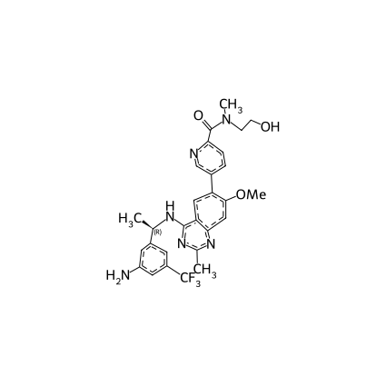 COc1cc2nc(C)nc(N[C@H](C)c3cc(N)cc(C(F)(F)F)c3)c2cc1-c1ccc(C(=O)N(C)CCO)nc1